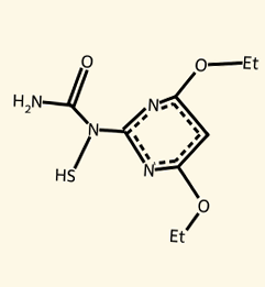 CCOc1cc(OCC)nc(N(S)C(N)=O)n1